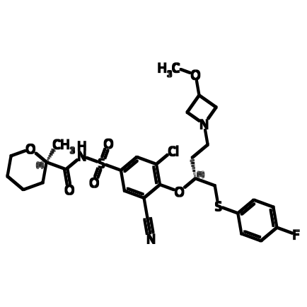 COC1CN(CC[C@H](CSc2ccc(F)cc2)Oc2c(Cl)cc(S(=O)(=O)NC(=O)[C@@]3(C)CCCCO3)cc2C#N)C1